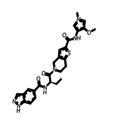 CC[C@@H](NC(=O)c1ccc2[nH]ncc2c1)C(=O)N1CCc2sc(C(=O)Nc3cn(C)cc3OC)cc2C1